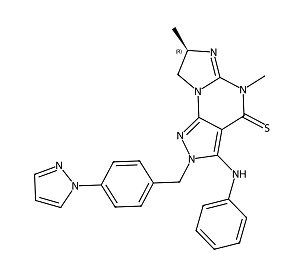 C[C@@H]1CN2C(=N1)N(C)C(=S)c1c2nn(Cc2ccc(-n3cccn3)cc2)c1Nc1ccccc1